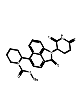 CC(C)(C)OC(=O)N1CCCCC1c1ccc2c3c(cccc13)N(C1CCC(=O)NC1=O)C2=O